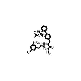 CC(=O)NS(=O)(=O)c1ccccc1-c1ccc(CC(NC(=O)[C@@H](CS)Cc2cccc(Cl)c2)C(N)=O)cc1